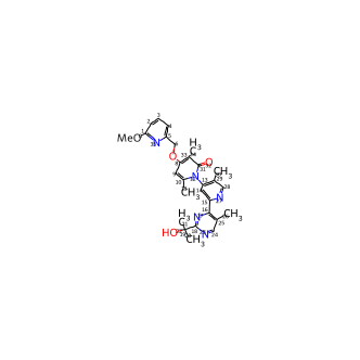 COc1cccc(COc2cc(C)n(-c3cc(-c4nc(C(C)(C)O)ncc4C)ncc3C)c(=O)c2C)n1